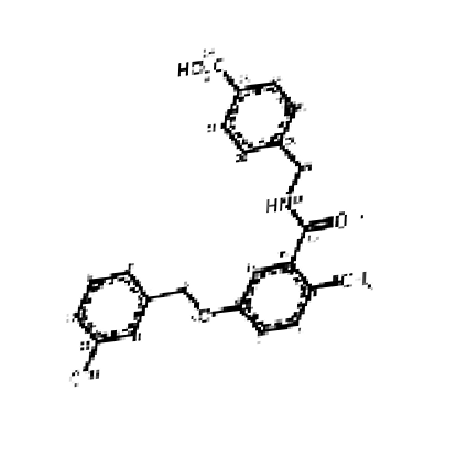 Cc1ccc(OCc2cccc(Cl)c2)cc1C(=O)NCc1ccc(C(=O)O)cc1